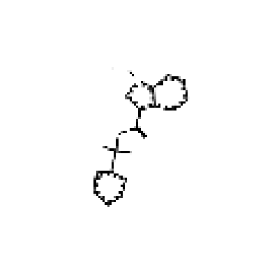 CCCCCn1cc(C(=O)CC(C)(C)c2ccccc2)c2ccccc21